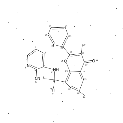 [2H]C(C)(Nc1cccnc1C#N)c1cc(C)cc2c(=O)c(C)c(-c3ccccc3)oc12